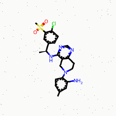 Cc1ccc(N2CCc3ncnc(N[C@@H](C)c4ccc(Cl)c(S(C)(=O)=O)c4)c3C2)c(N)c1